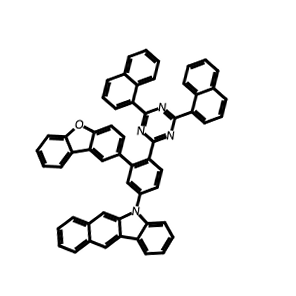 c1ccc2cc3c(cc2c1)c1ccccc1n3-c1ccc(-c2nc(-c3cccc4ccccc34)nc(-c3cccc4ccccc34)n2)c(-c2ccc3oc4ccccc4c3c2)c1